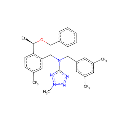 CC[C@@H](OCc1ccccc1)c1ccc(C(F)(F)F)cc1CN(Cc1cc(C(F)(F)F)cc(C(F)(F)F)c1)c1nnn(C)n1